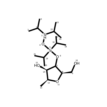 CC(C)[SiH](O[Si](OC1[C@@H](CO)O[C@@H](C)[C@H]1O)(C(C)C)C(C)C)C(C)C